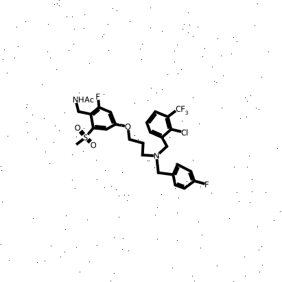 CC(=O)NCc1c(F)cc(OCCCN(Cc2ccc(F)cc2)Cc2cccc(C(F)(F)F)c2Cl)cc1S(C)(=O)=O